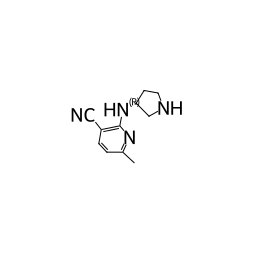 Cc1ccc(C#N)c(N[C@@H]2CCNC2)n1